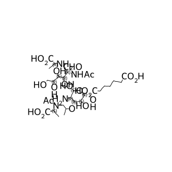 CC(=O)N(CC(C)O[C@@H]1[C@@H](N)[C@@H](O)O[C@H](CO)[C@H]1O)[C@@H](C)C(=O)O.CC(=O)N[C@@H](C=O)[C@@H](O)[C@H](O)[C@H](O)CO.C[C@@H](N)C(=O)O.O=C(O)CCCCCC(=O)O